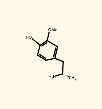 COc1cc(C[C@H](C)N)ccc1O